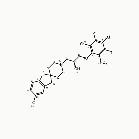 Cc1c(Cl)c(C)c([N+](=O)[O-])c(OC[C@@H](O)CN2CCC3(CC2)Cc2cc(Cl)ccc2O3)c1Cl